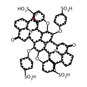 O=c1cc2c3c(Oc4ccc(S(=O)(=O)O)cc4)c(Oc4ccc(S(=O)(=O)O)cc4)c4c5c(c(Oc6ccc(S(=O)(=O)O)cc6)c(Oc6ccc(S(=O)(=O)O)cc6)c(c35)c3cc(=O)c5cccc1c5n23)c1cc(=O)c2cccc3c(=O)cc4n1c32